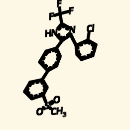 CS(=O)(=O)c1cccc(-c2ccc(-c3[nH]c(C(F)(F)F)nc3-c3ccccc3Cl)cc2)c1